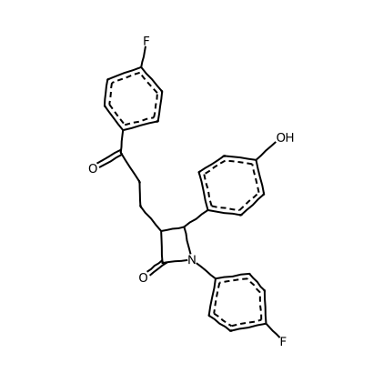 O=C(CCC1C(=O)N(c2ccc(F)cc2)C1c1ccc(O)cc1)c1ccc(F)cc1